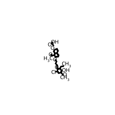 CCCc1c(O)c(C(C)=O)cc(Cl)c1OCCCOc1ccc2ccc(OCC(=O)O)cc2c1C(C)=O